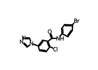 O=C(Nc1ccc(Br)cc1)c1cc(-n2cnnc2)ccc1Cl